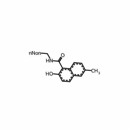 CCCCCCCCCCNC(=O)c1c(O)ccc2cc(C)ccc12